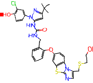 CC(C)(C)c1cc(NC(=O)NCc2ccccc2Oc2ccc3c(c2)sc2ncc(CSCCO)n23)n(-c2ccc(O)c(Cl)c2)n1